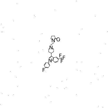 O=C1CCCN1CCN1CCC(c2cn(-c3ccc(F)cc3)c3ccc(C(F)(F)F)cc23)CC1